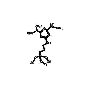 CCCCCCCCNc1nc(NCCC[Si](OCC)(OCC)OCC)nc(N(CCCCCCCC)CCCCCCCC)n1